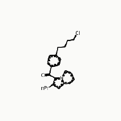 CCCc1cc2ccccn2c1C(=O)c1ccc(CCCCCl)cc1